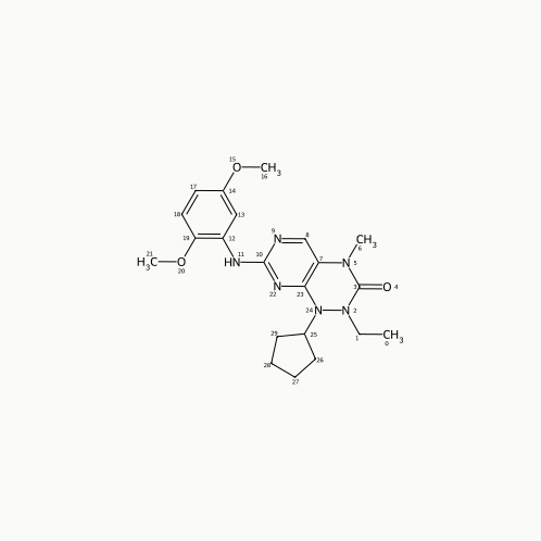 CCN1C(=O)N(C)c2cnc(Nc3cc(OC)ccc3OC)nc2N1C1CCCC1